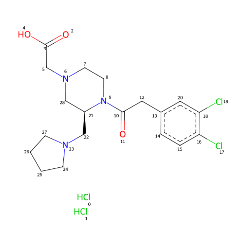 Cl.Cl.O=C(O)CN1CCN(C(=O)Cc2ccc(Cl)c(Cl)c2)[C@@H](CN2CCCC2)C1